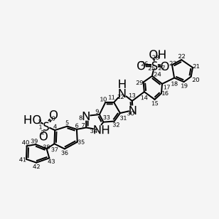 O=S(=O)(O)c1cc(-c2nc3cc4[nH]c(-c5ccc(-c6ccccc6)c(S(=O)(=O)O)c5)nc4cc3[nH]2)ccc1-c1ccccc1